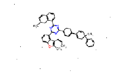 C/C=C\c1c(C)oc2cccc(-c3nc(C4=CC=C(C5=CCC(C)(c6ccccc6)C=C5)CC4)nc(-c4cccc5c4CC(C)C=C5)n3)c12